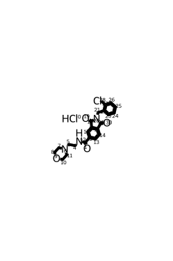 Cl.O=C(NCCN1CCOCC1)c1ccc2c(c1)C(=O)N(Cc1ccccc1Cl)C2=O